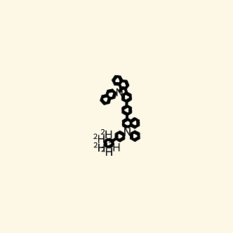 [2H]c1c([2H])c([2H])c(-c2ccc(N(c3ccccc3)c3ccc(-c4ccc(-c5ccc6c7ccc8ccccc8c7n(-c7ccc8ccccc8c7)c6c5)cc4)c4ccccc34)cc2)c([2H])c1[2H]